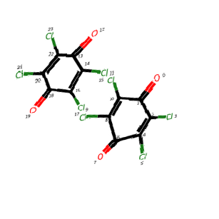 O=C1C(Cl)=C(Cl)C(=O)C(Cl)=C1Cl.O=C1C(Cl)=C(Cl)C(=O)C(Cl)=C1Cl